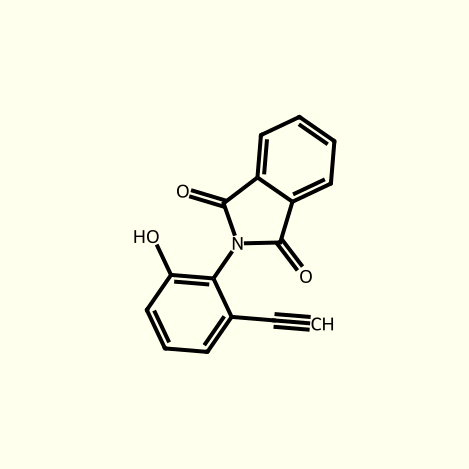 C#Cc1cccc(O)c1N1C(=O)c2ccccc2C1=O